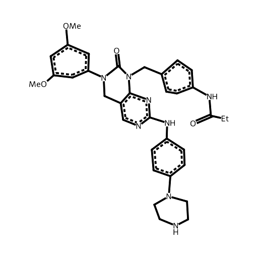 CCC(=O)Nc1ccc(CN2C(=O)N(c3cc(OC)cc(OC)c3)Cc3cnc(Nc4ccc(N5CCNCC5)cc4)nc32)cc1